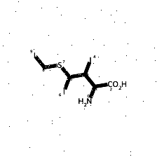 NC(C(=O)O)C(I)C(I)SCI